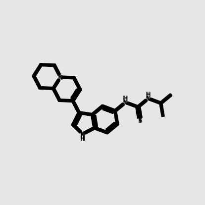 CC(C)NC(=S)Nc1ccc2[nH]cc(C3=CCN4CCCCC4C3)c2c1